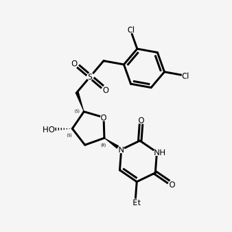 CCc1cn([C@H]2C[C@H](O)[C@@H](CS(=O)(=O)Cc3ccc(Cl)cc3Cl)O2)c(=O)[nH]c1=O